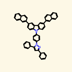 c1ccc(-c2cc(-c3ccccc3)n(-c3ccc(-n4c5ccc(-c6ccc7ccccc7c6)cc5c5cc(-c6ccc7ccccc7c6)ccc54)cc3)n2)cc1